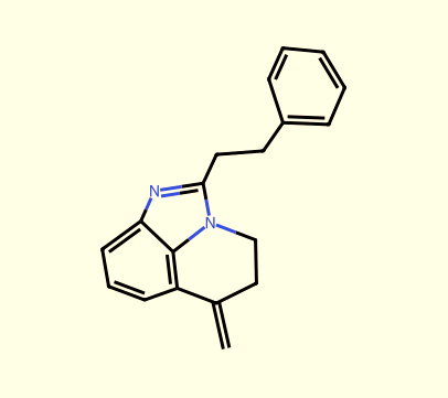 C=C1CCn2c(CCc3ccccc3)nc3cccc1c32